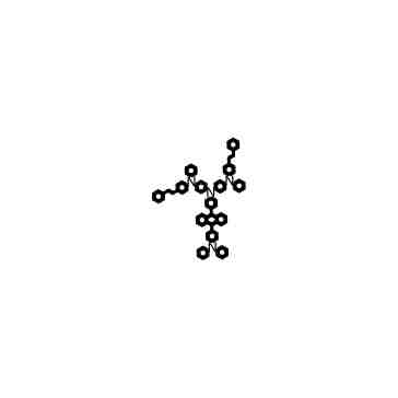 C(=Cc1ccc(N(c2ccccc2)c2ccc(N(c3ccc(-c4c5ccccc5c(-c5ccc(N(c6ccccc6)c6ccccc6)cc5)c5ccccc45)cc3)c3ccc(N(c4ccccc4)c4ccc(C=Cc5ccccc5)cc4)cc3)cc2)cc1)c1ccccc1